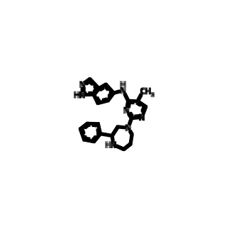 Cc1cnc(N2CCCNC(c3ccccc3)C2)nc1Nc1ccc2[nH]ncc2c1